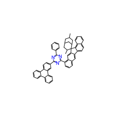 CC1CC2CC(C)C3(c4cc5c(-c6nc(-c7ccccc7)nc(-c7ccc8c9ccccc9c9ccccc9c8c7)n6)cccc5cc4-c4ccc5ccccc5c43)C(C1)C2